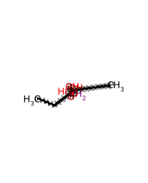 CCCCCCCC/C=C\CCCCCCCC(=O)C(O)(P)C(O)(CO)C(=O)CCCCCCCCCCCCCCCCC